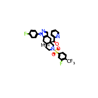 O=C(c1ccccn1)[C@]12Cc3cnn(-c4ccc(F)cc4)c3C[C@@H]1CCN(S(=O)(=O)c1ccc(C(F)(F)F)c(F)c1)C2